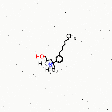 CCCCCCCc1cccc(C(CC)(CCCO)N(C)C)c1